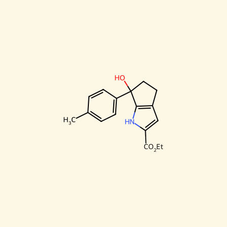 CCOC(=O)c1cc2c([nH]1)C(O)(c1ccc(C)cc1)CC2